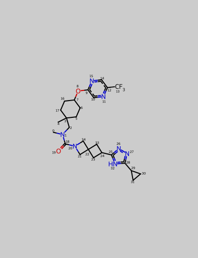 CN(CC1(C)CCC(Oc2cnc(C(F)(F)F)cn2)CC1)C(=O)N1CC2(CC(c3nnc(C4CC4)[nH]3)C2)C1